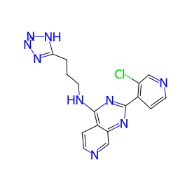 Clc1cnccc1-c1nc(NCCCc2nnn[nH]2)c2ccncc2n1